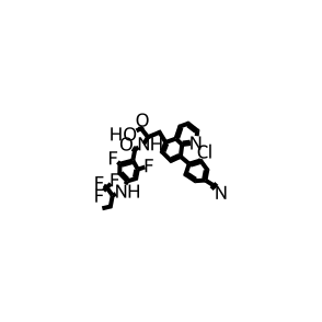 CCC(Nc1cc(F)c(C(=O)NC(Cc2ccc(-c3ccc(C#N)cc3Cl)c3ncccc23)C(=O)O)c(F)c1)C(F)(F)F